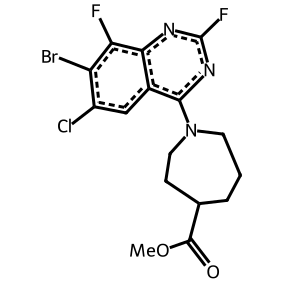 COC(=O)C1CCCN(c2nc(F)nc3c(F)c(Br)c(Cl)cc23)CC1